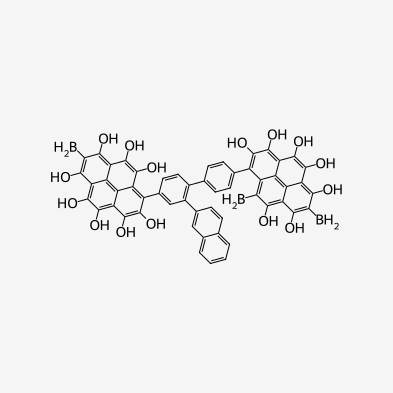 Bc1c(O)c2c(O)c(B)c3c(-c4ccc(-c5ccc(-c6c(O)c(O)c7c(O)c(O)c8c(O)c(B)c(O)c9c(O)c(O)c6c7c89)cc5-c5ccc6ccccc6c5)cc4)c(O)c(O)c4c(O)c(O)c(c1O)c2c43